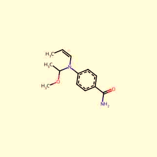 C/C=C\N(c1ccc(C(N)=O)cc1)C(C)OC